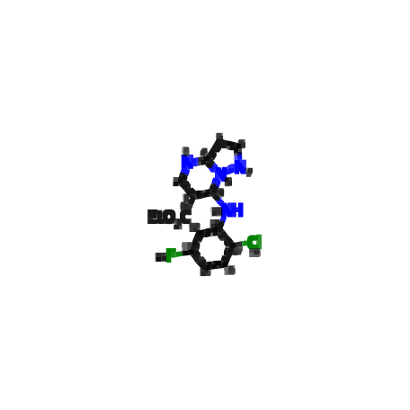 CCOC(=O)c1cnc2ccnn2c1Nc1cc(F)ccc1Cl